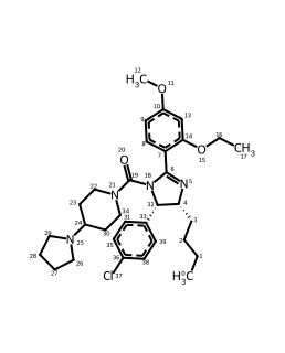 CCCC[C@H]1N=C(c2ccc(OC)cc2OCC)N(C(=O)N2CCC(N3CCCC3)CC2)[C@H]1c1ccc(Cl)cc1